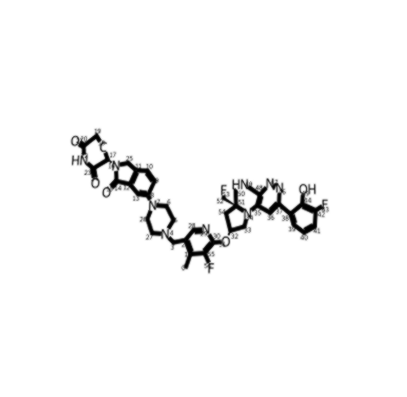 Cc1c(CN2CCN(c3ccc4c(c3)C(=O)N([C@H]3CCC(=O)NC3=O)C4)CC2)cnc(O[C@H]2CN3c4cc(-c5cccc(F)c5O)nnc4NC[C@@]3(CF)C2)c1F